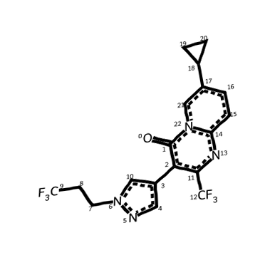 O=c1c(-c2cnn(CCC(F)(F)F)c2)c(C(F)(F)F)nc2ccc(C3CC3)cn12